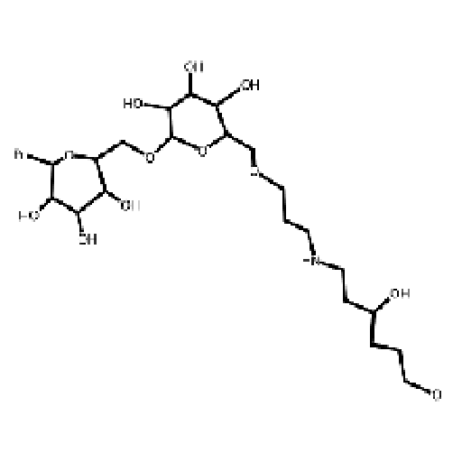 CC(C)C1OC(COC2OC(COCCCNCCC(O)CCCO)C(O)C(O)C2O)C(O)C(O)C1O